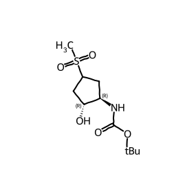 CC(C)(C)OC(=O)N[C@@H]1CC(S(C)(=O)=O)C[C@H]1O